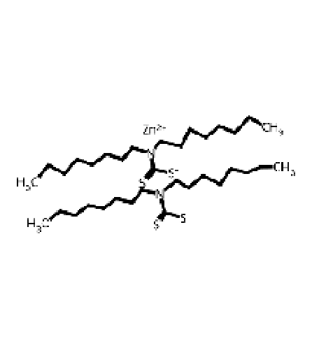 CCCCCCCCN(CCCCCCCC)C(=S)[S-].CCCCCCCCN(CCCCCCCC)C(=S)[S-].[Zn+2]